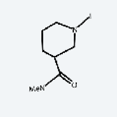 CNC(=O)C1CCCN(I)C1